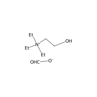 CC[N+](CC)(CC)CCO.O=C[O-]